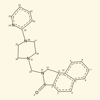 O=C1c2ccc3ccccc3c2CN1CN1CCN(c2ccccn2)CC1